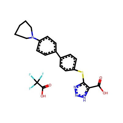 O=C(O)C(F)(F)F.O=C(O)c1[nH]nnc1Sc1ccc(-c2ccc(N3CCCCC3)cc2)cc1